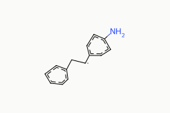 Nc1ccc([CH]Cc2ccccc2)cc1